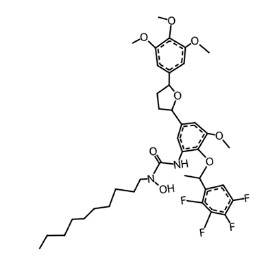 CCCCCCCCCCN(O)C(=O)Nc1cc(C2CCC(c3cc(OC)c(OC)c(OC)c3)O2)cc(OC)c1OC(C)c1cc(F)c(F)c(F)c1F